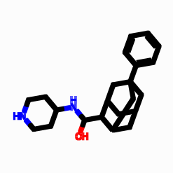 OC(NC1CCNCC1)C1C2CC3CC1CC(c1ccccc1)(C3)C2